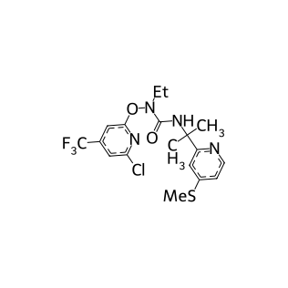 CCN(Oc1cc(C(F)(F)F)cc(Cl)n1)C(=O)NC(C)(C)c1cc(SC)ccn1